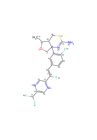 CC1OCC2(c3cc(/C=C(\F)c4cnc(C(F)F)cn4)ccc3F)N=C(N)SCC12